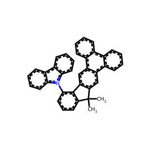 CC1(C)c2cc3c4ccccc4c4ccccc4c3cc2-c2c(-n3c4ccccc4c4ccccc43)cccc21